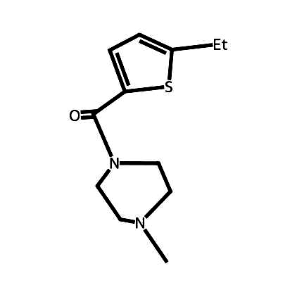 CCc1ccc(C(=O)N2CCN(C)CC2)s1